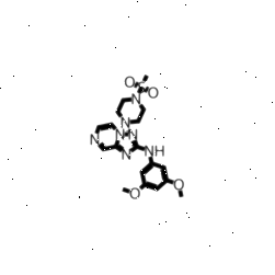 COc1cc(NC2=N[N+]3(N4CCN(S(C)(=O)=O)CC4)C=CN=CC3=N2)cc(OC)c1